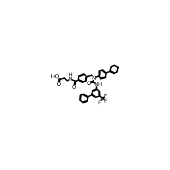 O=C(O)CCNC(=O)c1ccc(CN(C(=O)Nc2cc(-c3ccccc3)cc(C(F)(F)F)c2)c2ccc(C3=CCCCC3)cc2)cc1